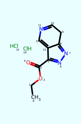 CCOC(=O)C1=NN=C2CC=NC=C21.Cl.Cl